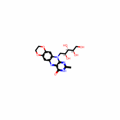 C=c1nc2c(c(=O)[nH]1)=Nc1cc3c(cc1N2C[C@H](O)[C@H](O)[C@H](O)CO)OCCO3